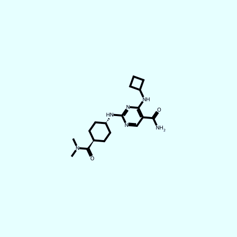 CN(C)C(=O)[C@H]1CC[C@H](Nc2ncc(C(N)=O)c(NC3CCC3)n2)CC1